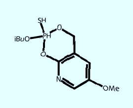 COc1cnc2c(c1)CO[PH](S)(OCC(C)C)O2